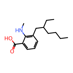 CCCCC(CC)Cc1cccc(C(=O)O)c1NC